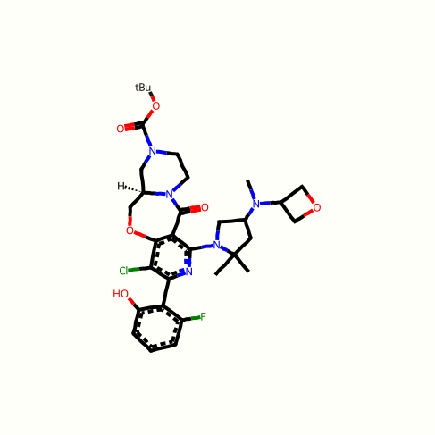 CN(C1COC1)C1CN(c2nc(-c3c(O)cccc3F)c(Cl)c3c2C(=O)N2CCN(C(=O)OC(C)(C)C)C[C@@H]2CO3)C(C)(C)C1